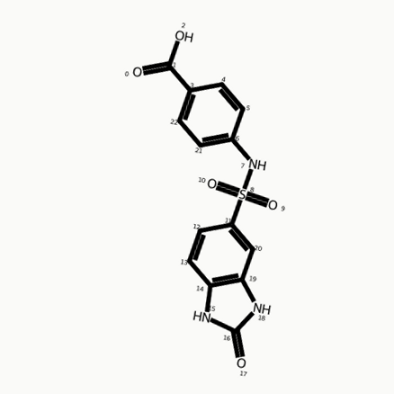 O=C(O)c1ccc(NS(=O)(=O)c2ccc3[nH]c(=O)[nH]c3c2)cc1